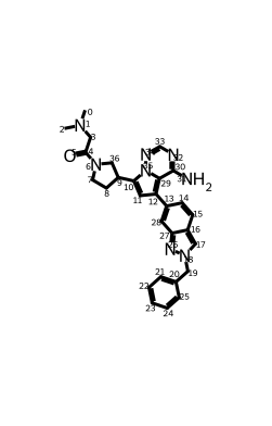 CN(C)CC(=O)N1CCC(c2cc(-c3ccc4cn(Cc5ccccc5)nc4c3)c3c(N)ncnn23)C1